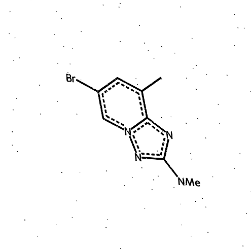 CNc1nc2c(C)cc(Br)cn2n1